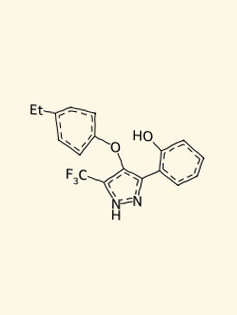 CCc1ccc(Oc2c(-c3ccccc3O)n[nH]c2C(F)(F)F)cc1